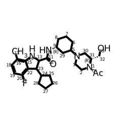 CC(=O)N1CCN(C2CCC[C@@H](NC(=O)C3Nc4c(C)ccc(F)c4C3C3CCCC3)C2)C[C@@H]1CO